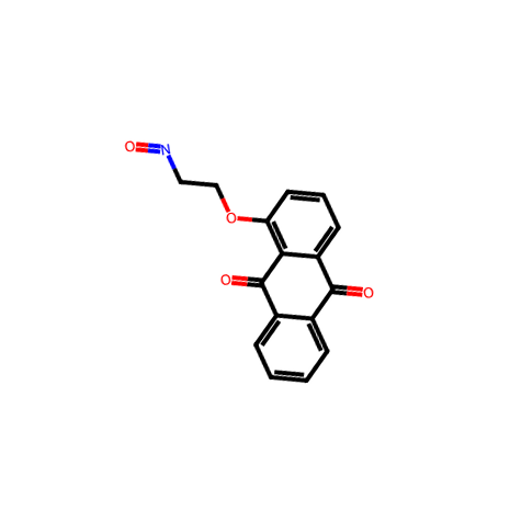 O=NCCOc1cccc2c1C(=O)c1ccccc1C2=O